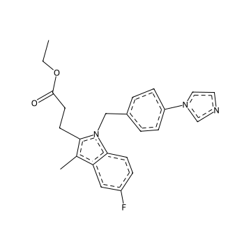 CCOC(=O)CCc1c(C)c2cc(F)ccc2n1Cc1ccc(-n2ccnc2)cc1